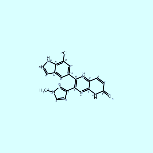 Cn1ccc(-c2nc3[nH]c(=O)ccc3nc2-c2cc(Cl)c3[nH]ncc3c2)n1